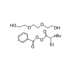 CCCCC(CC)C(=O)OOC(=O)c1ccccc1.OCCOCCOCCO